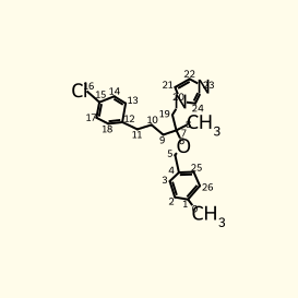 Cc1ccc(COC(C)(CCCc2ccc(Cl)cc2)Cn2ccnc2)cc1